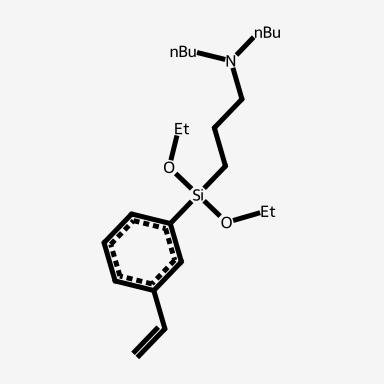 C=Cc1cccc([Si](CCCN(CCCC)CCCC)(OCC)OCC)c1